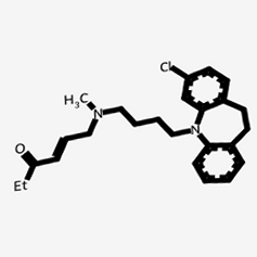 CCC(=O)/C=C/CN(C)CCCCN1c2ccccc2CCc2ccc(Cl)cc21